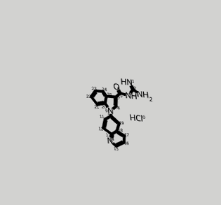 Cl.N=C(N)NC(=O)c1cn(-c2ccc3ncccc3c2)c2ccccc12